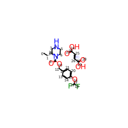 CC[C@@H]1CNCCN1C(=O)OCc1ccc(OC(F)F)cc1.O=C(O)/C=C/C(=O)O